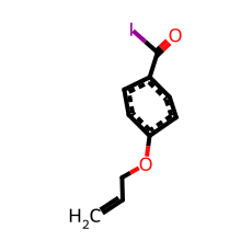 C=CCOc1ccc(C(=O)I)cc1